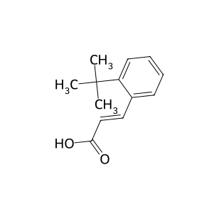 CC(C)(C)c1ccccc1C=CC(=O)O